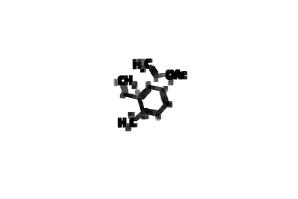 C=COC(C)=O.C=Cc1ccccc1C